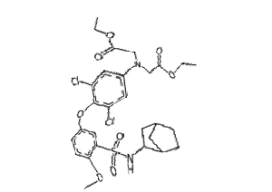 CCOC(=O)CN(CC(=O)OCC)c1cc(Cl)c(Oc2ccc(OC)c(S(=O)(=O)NC3CC4CCC3C4)c2)c(Cl)c1